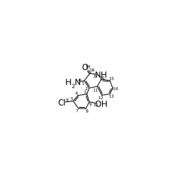 Nc1c(-c2cc(Cl)ccc2O)c2ccccc2[nH]c1=O